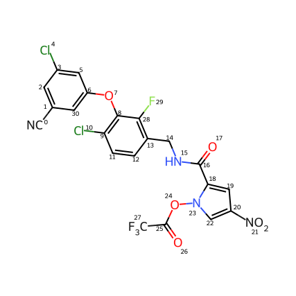 N#Cc1cc(Cl)cc(Oc2c(Cl)ccc(CNC(=O)c3cc([N+](=O)[O-])cn3OC(=O)C(F)(F)F)c2F)c1